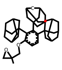 CC1(COc2ccc(C34CC5CC(CC(C5)C3)C4)c(C34CC5CC(CC(C5)C3)C4)c2C23CC4CC(CC(C4)C2)C3)CO1